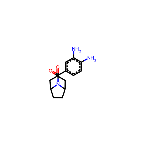 Nc1ccc(C(=O)N2C3CCC2CC(=O)C3)cc1N